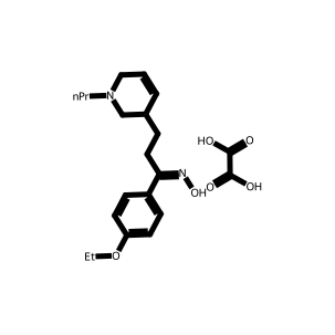 CCCN1CC=CC(CCC(=NO)c2ccc(OCC)cc2)C1.O=C(O)C(=O)O